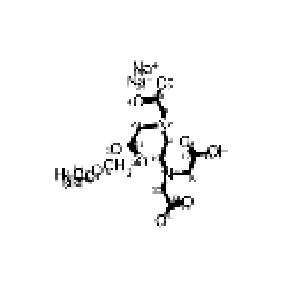 O.O.O.O.O=C([O-])CN(CCN(CC(=O)[O-])CC(=O)O)CC(=O)[O-].[Na+].[Na+].[Na+]